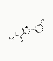 CNC(=O)c1cc(-c2cccc(Cl)c2)no1